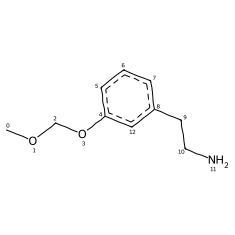 COCOc1cccc(CCN)c1